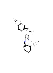 C=C(N/N=C/c1ccccc1OC)Nc1ccc2nsnc2c1